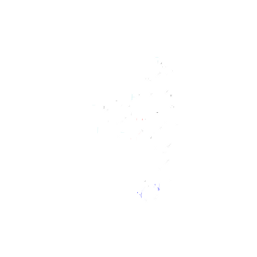 O=C(Oc1c(F)c(F)c(F)c(F)c1F)c1cc(C=CCn2ccnc2)ccc1CCc1ccc(F)cc1